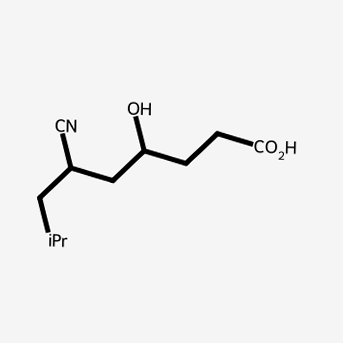 CC(C)CC(C#N)CC(O)CCC(=O)O